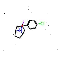 Clc1ccc(CN2C3C=C(I)CC2CC3)cc1